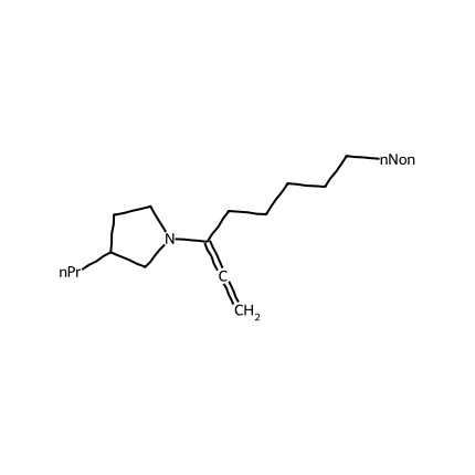 C=C=C(CCCCCCCCCCCCCC)N1CCC(CCC)C1